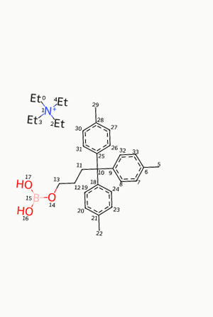 CC[N+](CC)(CC)CC.Cc1ccc(C(CCCOB(O)O)(c2ccc(C)cc2)c2ccc(C)cc2)cc1